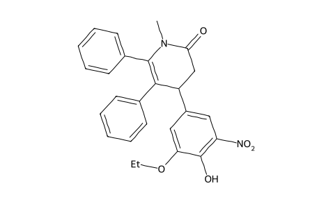 CCOc1cc(C2CC(=O)N(C)C(c3ccccc3)=C2c2ccccc2)cc([N+](=O)[O-])c1O